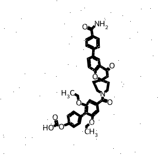 CCOc1cc(C(=O)N2CCC3(CC2)CC(=O)c2cc(-c4ccc(C(N)=O)cc4)ccc2O3)cc(OCC)c1-c1ccc(OC(=O)O)cc1